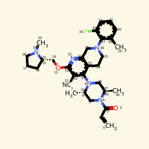 C=CC(=O)N1C[C@H](C)N(c2c(C#N)c(OC[C@@H]3CCCN3C)nc3c2CCN(c2c(C)cccc2F)C3)C[C@H]1C